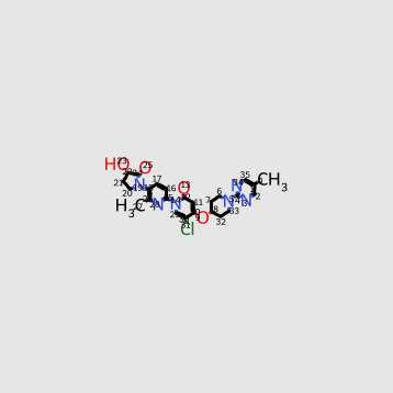 Cc1cnc(N2CCC(Oc3cc(=O)n(-c4ccc(N5CCC(O)C5=O)c(C)n4)cc3Cl)CC2)nc1